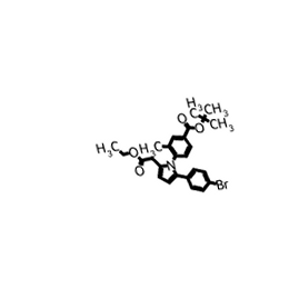 CCOC(=O)Cc1ccc(-c2ccc(Br)cc2)n1-c1ccc(C(=O)OC(C)(C)C)cc1C